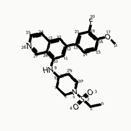 CCS(=O)(=O)N1CCC(Nc2cc(-c3ccc(OC)c(F)c3)cc3ccncc23)CC1